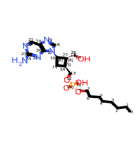 CCCCCCCCOP(=O)(O)OC[C@H]1C[C@@H](n2cnc3cnc(N)nc32)[C@@H]1CO